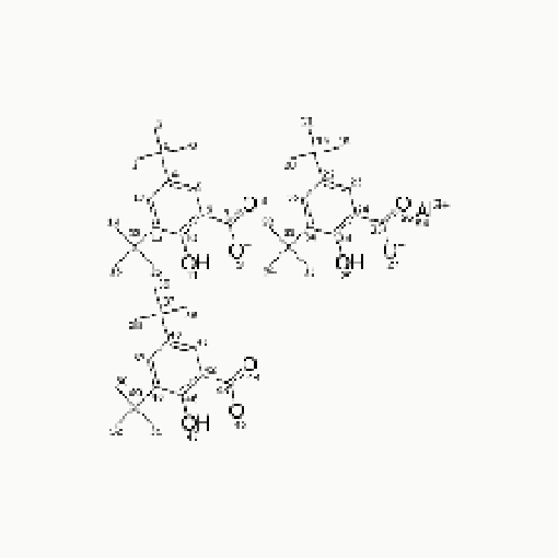 CC(C)(C)c1cc(C(=O)[O-])c(O)c(C(C)(C)C)c1.CC(C)(C)c1cc(C(=O)[O-])c(O)c(C(C)(C)C)c1.CC(C)(C)c1cc(C(=O)[O-])c(O)c(C(C)(C)C)c1.[Al+3]